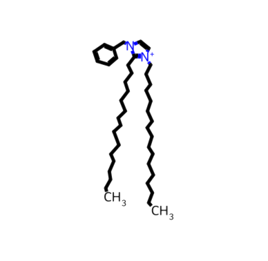 CCCCCCCCCCCCCCCCC[n+]1ccn(Cc2ccccc2)c1CCCCCCCCCCCCCCCC